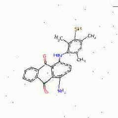 Cc1cc(C)c(Nc2ccc(N)c3c2C(=O)c2ccccc2C3=O)c(C)c1S